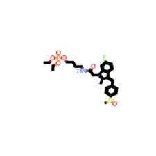 CCOP(=O)(OCC)OCCCCNC(=O)CC1=C(C)C(=Cc2ccc([S+](C)[O-])cc2)c2ccc(F)cc21